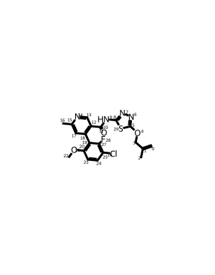 C=C(C)COc1nnc(NC(=O)c2cnc(C)cc2-c2c(OC)ccc(Cl)c2F)s1